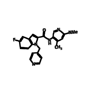 CNc1cc(C)c(NC(=O)c2cc3cc(F)ccc3n2Cc2ccncc2)cn1